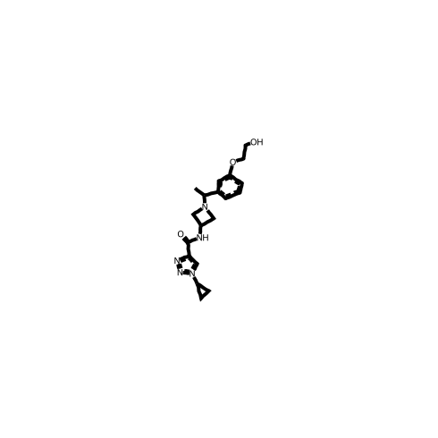 CC(c1cccc(OCCO)c1)N1CC(NC(=O)c2cn(C3CC3)nn2)C1